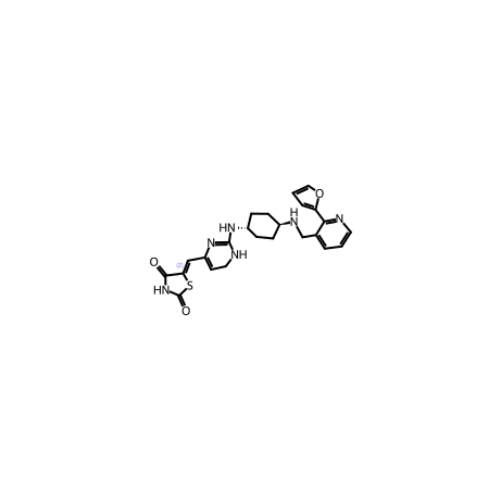 O=C1NC(=O)/C(=C/C2=CCNC(N[C@H]3CC[C@H](NCc4cccnc4-c4ccco4)CC3)=N2)S1